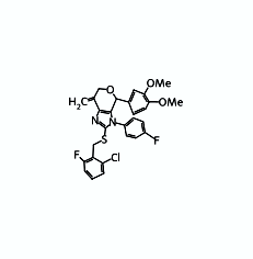 C=C1COC(c2ccc(OC)c(OC)c2)c2c1nc(SCc1c(F)cccc1Cl)n2-c1ccc(F)cc1